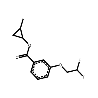 CC1CC1OC(=O)c1cccc(OCC(F)F)c1